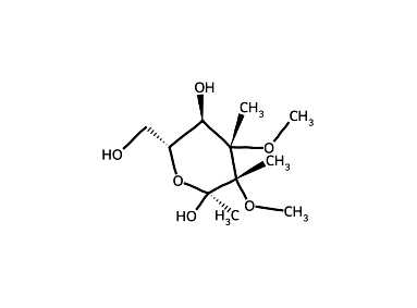 CO[C@]1(C)[C@@](C)(O)O[C@H](CO)[C@@H](O)[C@]1(C)OC